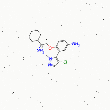 Cn1ncc(Cl)c1-c1cc(N)ccc1OC[C@@H](N)C1CCCCC1